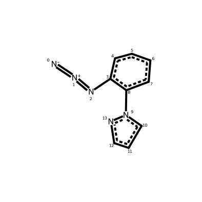 [N-]=[N+]=Nc1ccccc1-n1cccn1